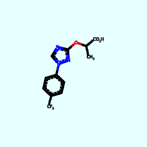 CC(Oc1ncn(-c2ccc(C(F)(F)F)cc2)n1)C(=O)O